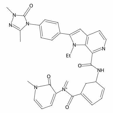 C=[N+](C(=O)C1=CC=CC(NC(=O)c2nccc3cc(-c4ccc(-n5c(C)nn(C)c5=O)cc4)n(CC)c23)C1)c1cccn(C)c1=O